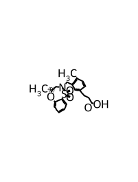 Cc1ccc(CCC(=O)O)cc1CN1C[C@@H](C)Oc2ccccc2S1(=O)=O